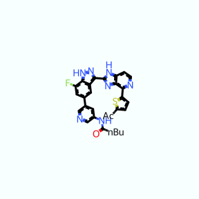 CCCCC(=O)Nc1cncc(-c2cc(F)c3[nH]nc(-c4nc5c(-c6ccc(C(C)=O)s6)nccc5[nH]4)c3c2)c1